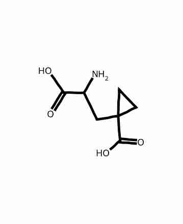 NC(CC1(C(=O)O)CC1)C(=O)O